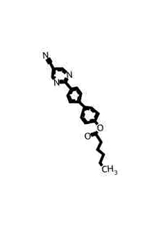 CCCCCC(=O)Oc1ccc(-c2ccc(-c3ncc(C#N)cn3)cc2)cc1